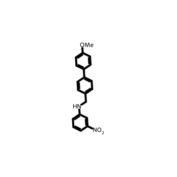 COc1ccc(-c2ccc(CNc3cccc([N+](=O)[O-])c3)cc2)cc1